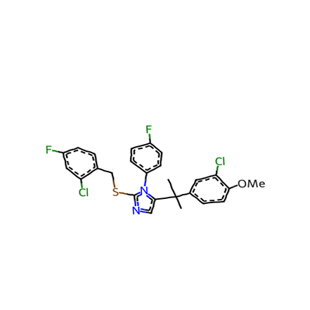 COc1ccc(C(C)(C)c2cnc(SCc3ccc(F)cc3Cl)n2-c2ccc(F)cc2)cc1Cl